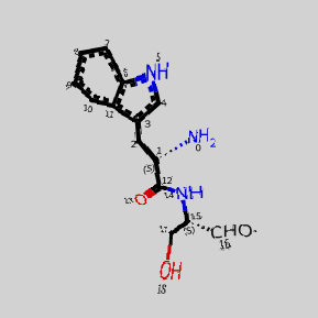 N[C@@H](Cc1c[nH]c2ccccc12)C(=O)N[C@H]([C]=O)CO